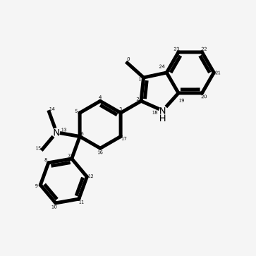 Cc1c(C2=CCC(c3ccccc3)(N(C)C)CC2)[nH]c2ccccc12